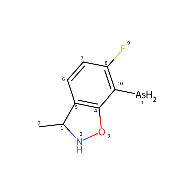 CC1NOc2c1ccc(F)c2[AsH2]